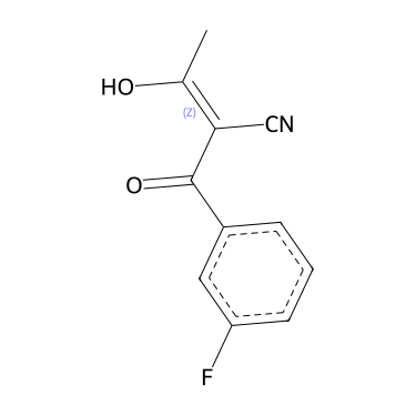 C/C(O)=C(\C#N)C(=O)c1cccc(F)c1